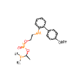 CCP(CC)C(C)O[PH](=O)OCCPc1ccccc1-c1ccc(OC)cc1